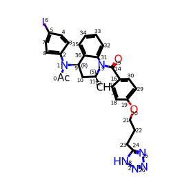 CC(=O)N(c1ccc(I)cc1)[C@@H]1C[C@H](C)N(C(=O)c2ccc(OCCCc3nnn[nH]3)cc2)c2ccccc21